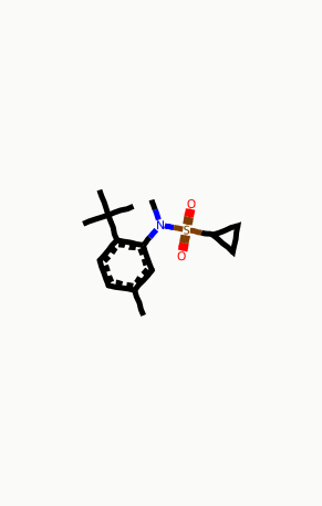 Cc1ccc(C(C)(C)C)c(N(C)S(=O)(=O)C2CC2)c1